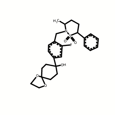 CC1CCC(c2ccccc2)S(=O)(=O)N1Cc1ccc(C2(O)CCC3(CC2)OCCO3)cc1F